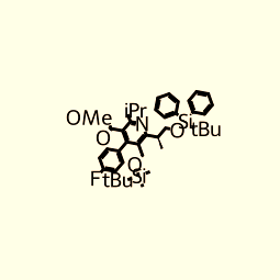 COC(=O)c1c(C(C)C)nc([C@H](C)CO[Si](c2ccccc2)(c2ccccc2)C(C)(C)C)c(CO[Si](C)(C)C(C)(C)C)c1-c1ccc(F)cc1